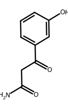 NC(=O)CC(=O)c1cccc(O)c1